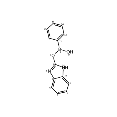 OB(Oc1nc2ccccc2[nH]1)c1ccccc1